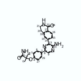 CC(C)(Oc1ccc(-c2cnc(N)c(-c3ccc4c(c3)CCNC4=O)n2)cc1)C(N)=O